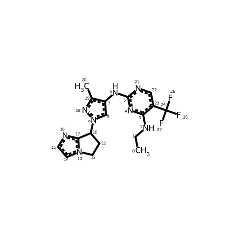 CCNc1nc(Nc2cn(C3CCn4ccnc43)nc2C)ncc1C(F)(F)F